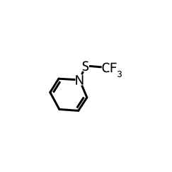 FC(F)(F)SN1C=CCC=C1